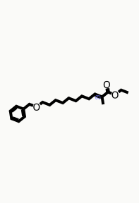 CCOC(=O)/C(C)=C/CCCCCCCCOCc1ccccc1